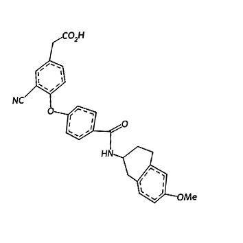 COc1ccc2c(c1)CCC(NC(=O)c1ccc(Oc3ccc(CC(=O)O)cc3C#N)cc1)C2